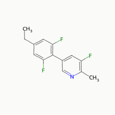 CCc1cc(F)c(-c2cnc(C)c(F)c2)c(F)c1